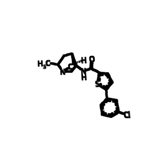 CC1CC2CCN1C[C@@H]2NC(=O)c1ccc(-c2cccc(Cl)c2)s1